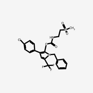 CS(=O)(=O)CCNC(=O)Oc1c(-c2ccc(Cl)cc2)cc(C(F)(F)F)n1Cc1ccccc1